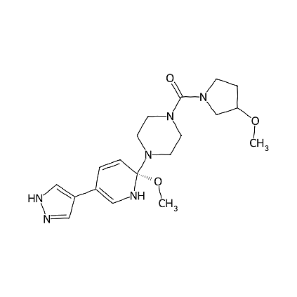 COC1CCN(C(=O)N2CCN([C@]3(OC)C=CC(c4cn[nH]c4)=CN3)CC2)C1